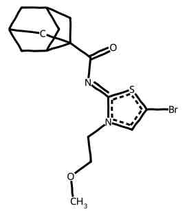 COCCn1cc(Br)s/c1=N\C(=O)C12CC3CC(CC1C3)C2